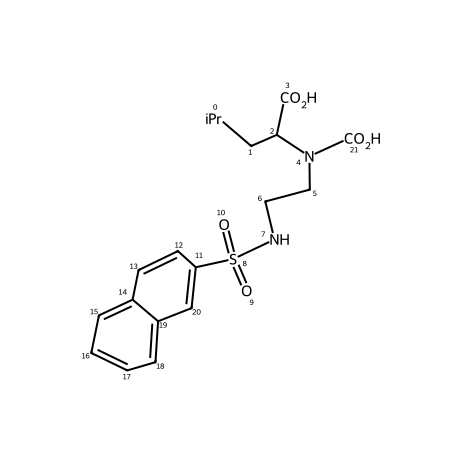 CC(C)CC(C(=O)O)N(CCNS(=O)(=O)c1ccc2ccccc2c1)C(=O)O